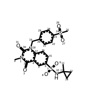 Cn1c(=O)c2cc(S(=O)(=O)NC3(C)CC3)ccc2n(Cc2ccc(S(C)(=O)=O)cc2)c1=O